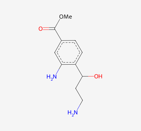 COC(=O)c1ccc(C(O)CCN)c(N)c1